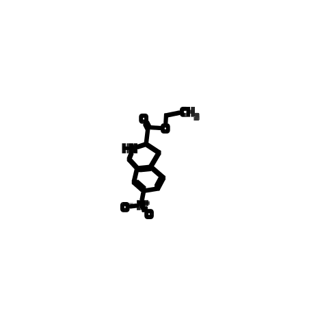 CCOC(=O)C1Cc2ccc([N+](=O)[O-])cc2CN1